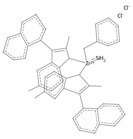 CC1=C(c2cccc3ccccc23)c2cc(C)ccc2[CH]1[Zr+2](=[SiH2])([CH2]c1ccccc1)[CH]1C(C)=C(c2cccc3ccccc23)c2cc(C)ccc21.[Cl-].[Cl-]